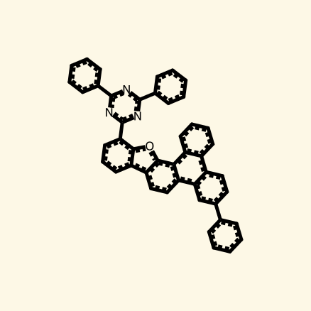 c1ccc(-c2ccc3c4ccccc4c4c(ccc5c6cccc(-c7nc(-c8ccccc8)nc(-c8ccccc8)n7)c6oc54)c3c2)cc1